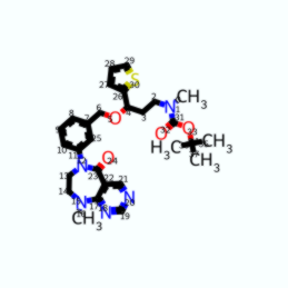 CN(CCC(OCc1cccc(N2CCN(C)c3ncncc3C2=O)c1)c1cccs1)C(=O)OC(C)(C)C